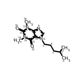 CC(C)CCCn1cnc2c1c(=O)n(C)c(=O)n2C